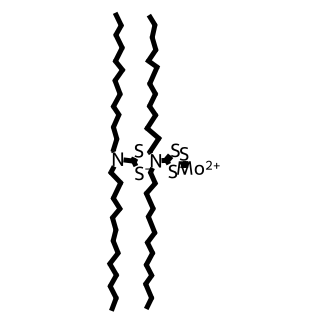 CCCCCCCCCCCCCN(CCCCCCCCCCCCC)C(=S)[S-].CCCCCCCCCCCCCN(CCCCCCCCCCCCC)C(=S)[S-].[S]=[Mo+2]